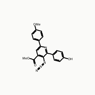 COC(=O)c1cc(-c2ccc(OC)cc2)nc(-c2ccc(O)cc2)c1N=[N+]=[N-]